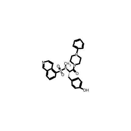 CN([C@@H](Cc1ccc(O)cc1)C(=O)N1CCN(c2ccccc2)CC1)S(=O)(=O)c1cccc2cnccc12